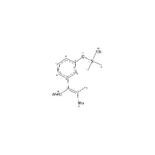 CO/C(=C(/C)C(C)(C)C)c1cccc(O[Si](C)(C)C(C)(C)C)c1